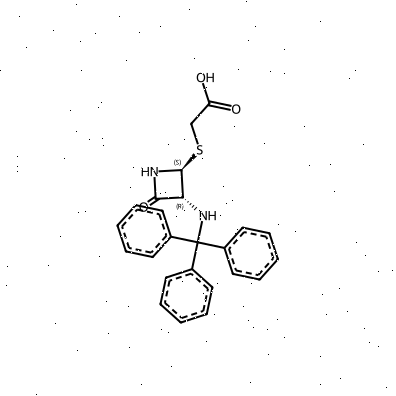 O=C(O)CS[C@@H]1NC(=O)[C@H]1NC(c1ccccc1)(c1ccccc1)c1ccccc1